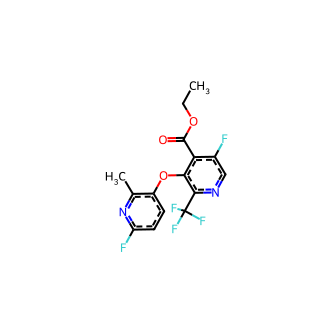 CCOC(=O)c1c(F)cnc(C(F)(F)F)c1Oc1ccc(F)nc1C